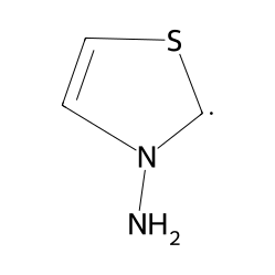 NN1[CH]SC=C1